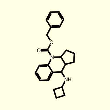 O=C(OCc1ccccc1)N1c2ccccc2C(NC2CCC2)C2CCCC21